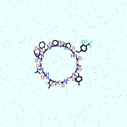 CC[C@H](C)[C@@H]1NC(=O)[C@H](CC(C)C)N(C)C(=O)C[C@@H](C(=O)N2C3CCC2COC3)N(C)C(=O)[C@H](C2CCCCC2)N(C)C(=O)C2(CCCC2)NC(=O)[C@@H]2CCCN2C(=O)[C@H](CCc2ccc(C(F)(F)F)c(Cl)c2)NC(=O)CN(C)C(=O)[C@H](Cc2ccc(C)cc2)N(C)C(=O)CN(C)C(=O)CN(C)C1=O